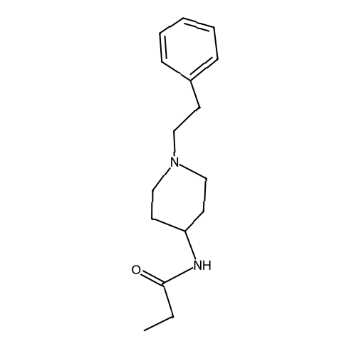 CCC(=O)NC1CCN(CCc2ccccc2)CC1